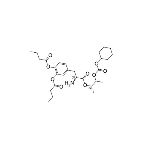 CCCC(=O)Oc1ccc(C[C@H](N)C(=O)O[C@@H](C)C(C)OC(=O)OC2CCCCC2)cc1OC(=O)CCC